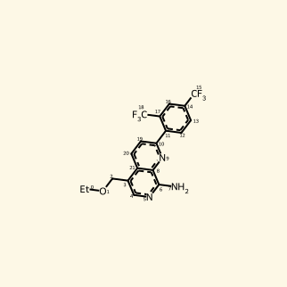 CCOCc1cnc(N)c2nc(-c3ccc(C(F)(F)F)cc3C(F)(F)F)ccc12